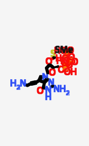 CSSCO[C@H]1C[C@H](n2cc(C#CCN)c3c(=O)[nH]c(N)nc32)O[C@@H]1COP(=O)(O)OP(=O)(O)OP(=O)(O)O